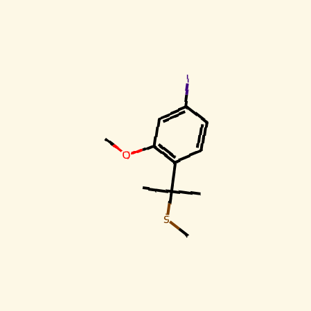 COc1cc(I)ccc1C(C)(C)SC